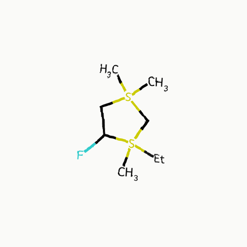 CCS1(C)CS(C)(C)CC1F